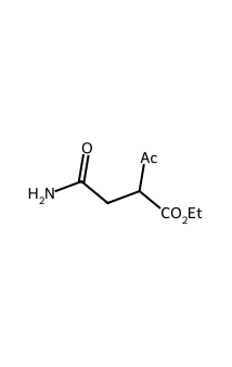 CCOC(=O)C(CC(N)=O)C(C)=O